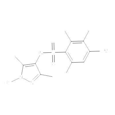 CCCn1nc(C)c(NS(=O)(=O)c2c(C)cc(OC)c(C)c2C)c1C